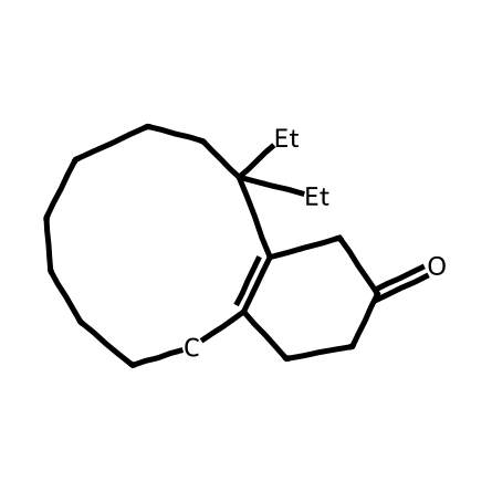 CCC1(CC)CCCCCCCCC2=C1CC(=O)CC2